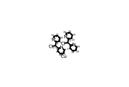 ClC(c1ccccn1)c1ccccn1.ClC(c1ccccn1)c1ccccn1.[Cu]